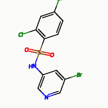 O=S(=O)(Nc1cncc(Br)c1)c1ccc(Br)cc1Cl